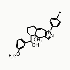 C[C@]12Cc3cnn(-c4ccc(F)cc4)c3C=C1CCC[C@@H]2[C@@H](O)c1cccc(OC(F)(F)F)c1